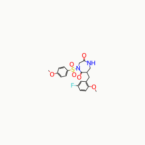 COc1ccc(S(=O)(=O)N2CC(=O)NCC(Cc3cc(F)ccc3OC)C2=O)cc1